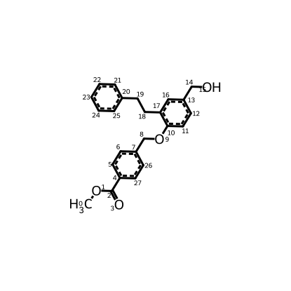 COC(=O)c1ccc(COc2ccc(CO)cc2CCc2ccccc2)cc1